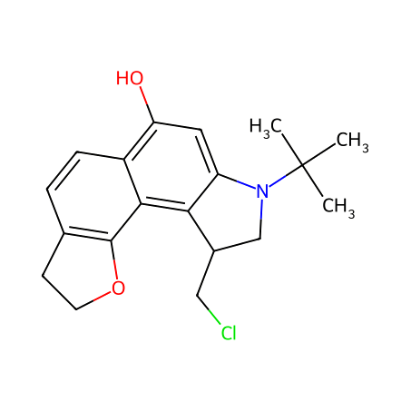 CC(C)(C)N1CC(CCl)c2c1cc(O)c1ccc3c(c21)OCC3